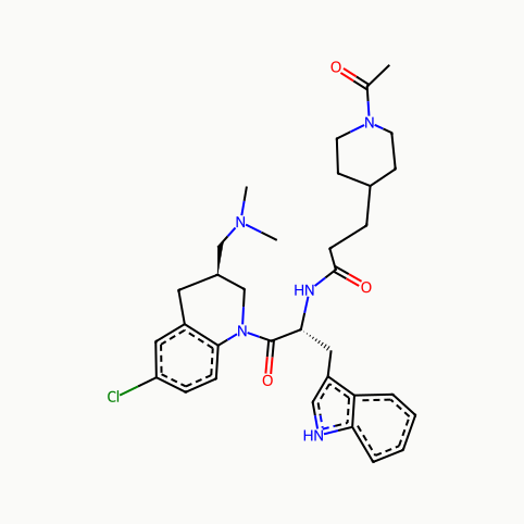 CC(=O)N1CCC(CCC(=O)N[C@H](Cc2c[nH]c3ccccc23)C(=O)N2C[C@H](CN(C)C)Cc3cc(Cl)ccc32)CC1